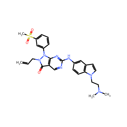 C=CCn1c(=O)c2cnc(Nc3ccc4c(ccn4CCN(C)C)c3)nc2n1-c1cccc(S(C)(=O)=O)c1